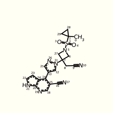 CC1(S(=O)(=O)N2CC(CC#N)(n3cc(-c4c(C#N)cnc5[nH]ccc45)cn3)C2)CC1